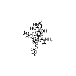 CC(C)OC(=O)OCOP(=O)(OCOC(=O)OC(C)C)OC1[C@]2(OC(=O)[C@H](N)C(C)C)[C@@](C)(O)[C@H](N3C=CC(=O)NC3O)O[C@]12CF